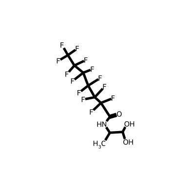 CC(NC(=O)C(F)(F)C(F)(F)C(F)(F)C(F)(F)C(F)(F)C(F)(F)F)C(O)O